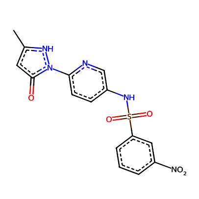 Cc1cc(=O)n(-c2ccc(NS(=O)(=O)c3cccc([N+](=O)[O-])c3)cn2)[nH]1